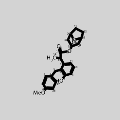 COc1ccc(Cc2c(O)cccc2C(C)C(=O)OC2CC3CCC(C2)N3C)cc1